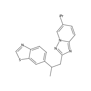 CC(C)c1ccc2nc(CC(C)c3ccc4ncsc4c3)nn2c1